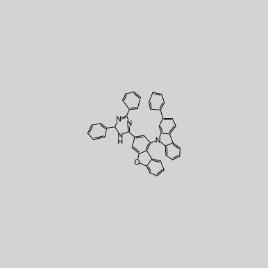 c1ccc(C2=NC(c3ccccc3)NC(c3cc(-n4c5ccccc5c5ccc(-c6ccccc6)cc54)c4c(c3)oc3ccccc34)=N2)cc1